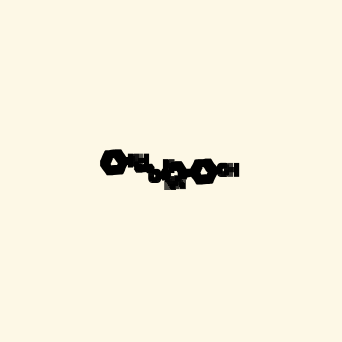 Oc1ccc(-c2cnc(OCCNc3ccccc3)nn2)cc1